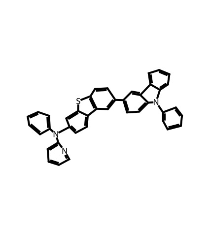 c1ccc(N(c2ccc3c(c2)sc2ccc(-c4ccc5c(c4)c4ccccc4n5-c4ccccc4)cc23)c2ccccn2)cc1